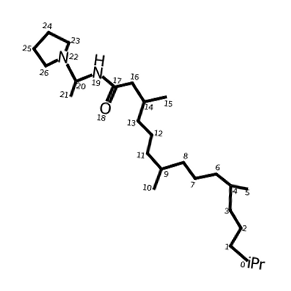 CC(C)CCCC(C)CCCC(C)CCCC(C)CC(=O)NC(C)N1CCCC1